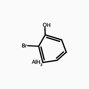 Oc1ccccc1Br.[AlH3]